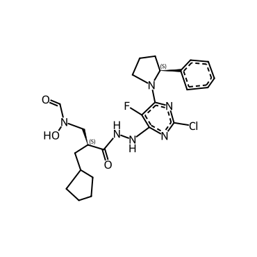 O=CN(O)C[C@H](CC1CCCC1)C(=O)NNc1nc(Cl)nc(N2CCC[C@H]2c2ccccc2)c1F